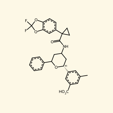 Cc1cc(C(=O)O)cc([C@H]2CC(NC(=O)C3(c4ccc5c(c4)OC(F)(F)O5)CC3)CC(c3ccccc3)O2)c1